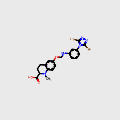 CN1c2ccc(OCNc3cccc(-n4c(S)nnc4S)c3)cc2CCC1C(=O)O